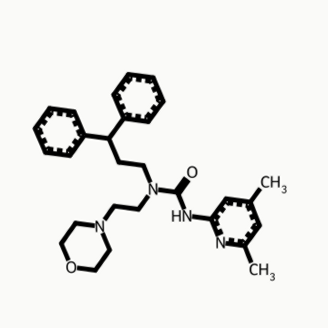 Cc1cc(C)nc(NC(=O)N(CCC(c2ccccc2)c2ccccc2)CCN2CCOCC2)c1